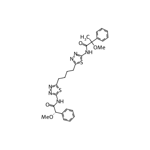 CO[C@H](C(=O)Nc1nnc(CCCCc2nnc(NC(=O)C(C)(OC)c3ccccc3)s2)s1)c1ccccc1